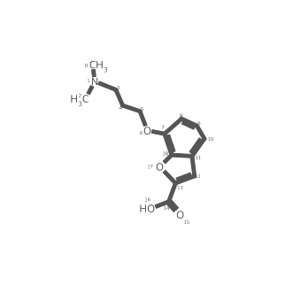 CN(C)CCCOc1cccc2cc(C(=O)O)oc12